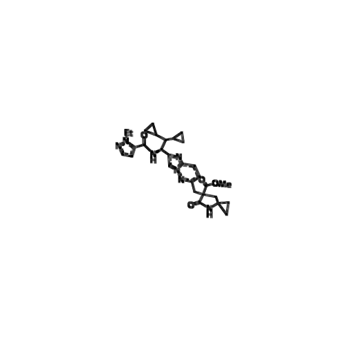 CCn1nccc1C(=O)N[C@H](c1cn2nc(CC3(C(=O)OC)CC4(CC4)NC3=O)ccc2n1)C(C1CC1)C1CC1